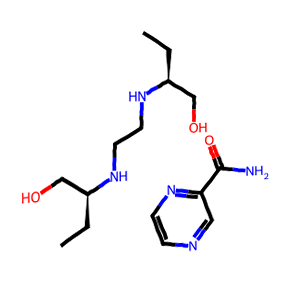 CC[C@@H](CO)NCCN[C@@H](CC)CO.NC(=O)c1cnccn1